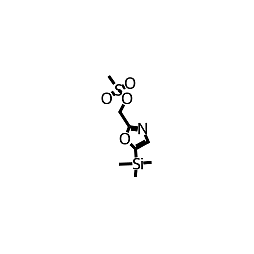 C[Si](C)(C)c1cnc(COS(C)(=O)=O)o1